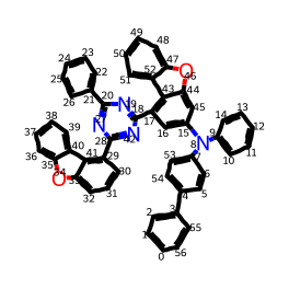 c1ccc(-c2ccc(N(c3ccccc3)c3cc(-c4nc(-c5ccccc5)nc(-c5cccc6oc7ccccc7c56)n4)c4c(c3)oc3ccccc34)cc2)cc1